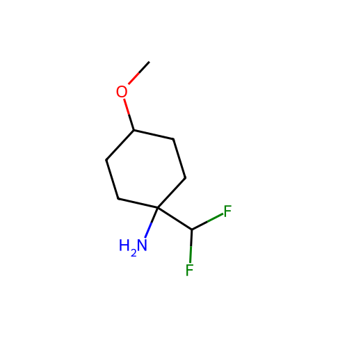 COC1CCC(N)(C(F)F)CC1